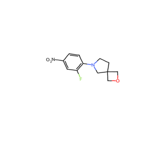 O=[N+]([O-])c1ccc(N2CCC3(COC3)C2)c(F)c1